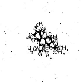 COc1c(Br)c([C@H]2[C@@H]3O[C@@H]3[C@H]3OC(C)(C)O[C@H]3[C@@H]2n2c(=O)n(C)c(=O)n2C)cc2c1OCO2